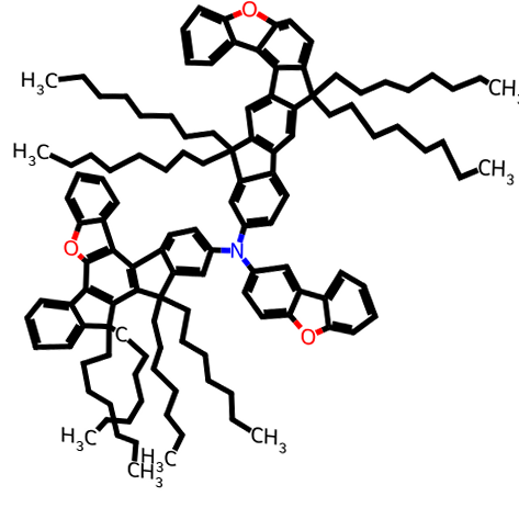 CCCCCCCCC1(CCCCCCCC)c2cc(N(c3ccc4c(c3)C(CCCCCCC)(CCCCCCC)c3c5c(c6oc7ccccc7c6c3-4)-c3ccccc3C5(CCCCCCC)CCCCCCC)c3ccc4oc5ccccc5c4c3)ccc2-c2cc3c(cc21)-c1c(ccc2oc4ccccc4c12)C3(CCCCCCCC)CCCCCCCC